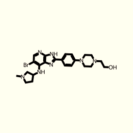 CN1CCC(Nc2c(Br)cnc3[nH]c(-c4ccc(N5CCN(CCO)CC5)cc4)nc23)C1